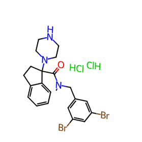 CN(Cc1cc(Br)cc(Br)c1)C(=O)C1(N2CCNCC2)CCc2ccccc21.Cl.Cl